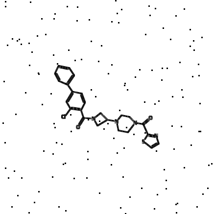 O=C(c1nccs1)N1CCN(C2CN(C(=O)c3ccc(-c4ccccc4)cc3Cl)C2)CC1